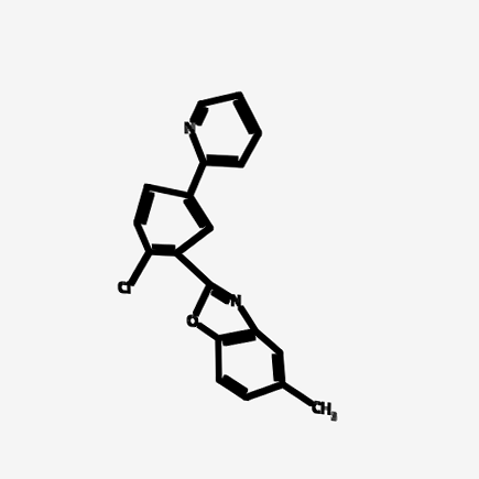 Cc1ccc2oc(-c3cc(-c4ccccn4)ccc3Cl)nc2c1